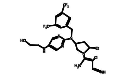 CCC1CC(N(Cc2cc(C(F)(F)F)cc(C(F)(F)F)c2)c2ncc(NCCO)cn2)CN1/C(N)=C(\Cl)C=N